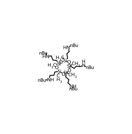 CCCCNCCC[Si]1(C)O[Si](C)(CCCNCCCC)O[Si](C)(CCCNCCCC)O[Si](C)(CCCNCCCC)O[Si](C)(CCCNCCCC)O1